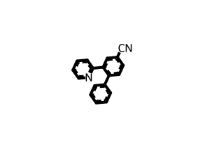 N#Cc1ccc(-c2ccccc2)c(-c2ccccn2)c1